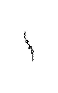 CCCCCC#Cc1ccc(C#Cc2ccc([C@H]3CC[C@H](CCCCCCC)CC3)cc2)cc1